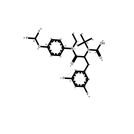 CCN(C(=O)C(Cc1cc(F)cc(F)c1)N(C(=O)O)C(C)(C)C)c1ccc(OC(F)F)cc1